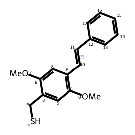 COc1cc(CS)c(OC)cc1/C=C/c1ccccc1